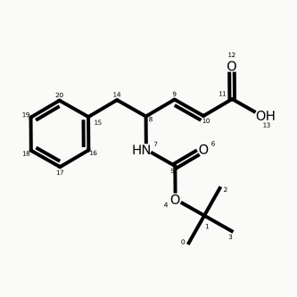 CC(C)(C)OC(=O)NC(/C=C/C(=O)O)Cc1ccccc1